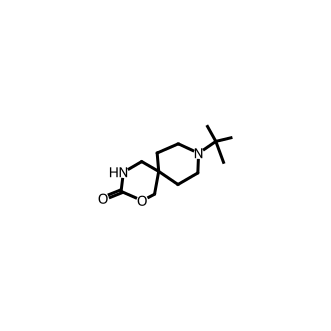 CC(C)(C)N1CCC2(CC1)CNC(=O)OC2